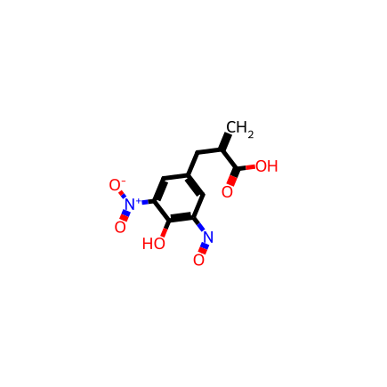 C=C(Cc1cc(N=O)c(O)c([N+](=O)[O-])c1)C(=O)O